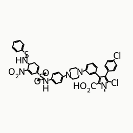 Cn1c(Cl)c(-c2ccc(Cl)cc2)c(-c2cccc(N3CCN(c4ccc(NS(=O)(=O)C5=CCC(NSc6ccccc6)C([N+](=O)[O-])=C5)cc4)CC3)c2)c1C(=O)O